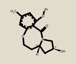 Cc1cc2c(c(OC(C)C)c1)C(=O)N1C[C@@H](O)C[C@@H]1CCO2